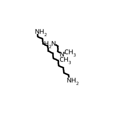 CN(C)CCN.NCCCCCCCCCCCCN